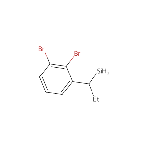 CCC([SiH3])c1cccc(Br)c1Br